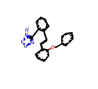 C(=Cc1ccccc1-c1nnn[nH]1)c1ccccc1OCc1ccccc1